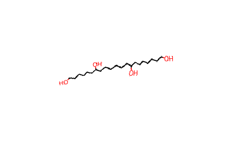 OCCCCCCCC(O)CCCCCCC(O)CCCCCCO